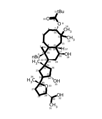 CCCC[C@@]12C[C@@]13CCC[C@H](OC(=O)C(C)(C)C)C(C)(C)C[C@@H]3[C@@H](O)C[C@H]2[C@@]1(C)CC([C@@]2(C)CC[C@@H](C(C)O)O2)[C@@H](O)C1